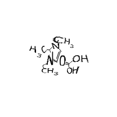 CCN1C=CN(C)C1C.O=C(O)O